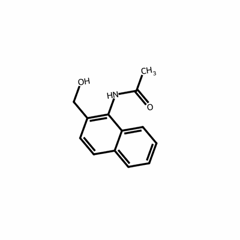 CC(=O)Nc1c(CO)ccc2ccccc12